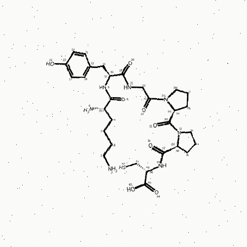 NCCCC[C@H](N)C(=O)N[C@@H](Cc1ccc(O)cc1)C(=O)NCC(=O)N1CCC[C@H]1C(=O)N1CCC[C@H]1C(=O)N[C@@H](CS)C(=O)O